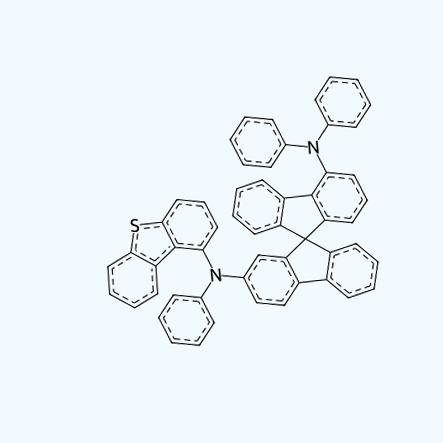 c1ccc(N(c2ccccc2)c2cccc3c2-c2ccccc2C32c3ccccc3-c3ccc(N(c4ccccc4)c4cccc5sc6ccccc6c45)cc32)cc1